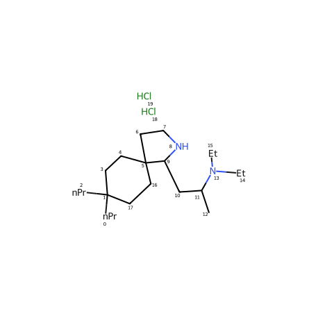 CCCC1(CCC)CCC2(CCNC2CC(C)N(CC)CC)CC1.Cl.Cl